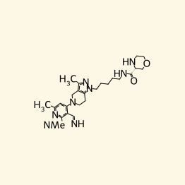 CNc1nc(C)cc(N2CCc3c(c(C)nn3CCCCCNC(=O)[C@H]3COCCN3)C2)c1C=N